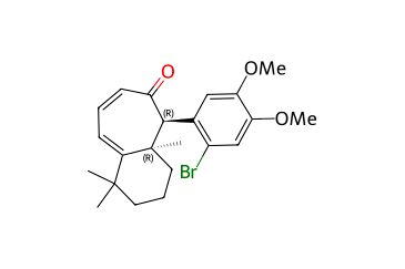 COc1cc(Br)c([C@@H]2C(=O)C=CC=C3C(C)(C)CCC[C@@]32C)cc1OC